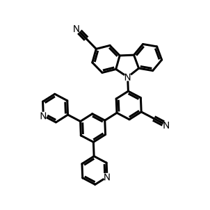 N#Cc1cc(-c2cc(-c3cccnc3)cc(-c3cccnc3)c2)cc(-n2c3ccccc3c3cc(C#N)ccc32)c1